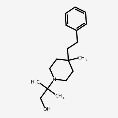 CC1(CCc2ccccc2)CCN(C(C)(C)CO)CC1